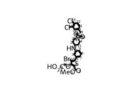 COC(=O)c1sc(-c2cccc(NC3CCN(S(=O)(=O)Cc4ccc(Cl)c(Cl)c4)CC3)c2)c(Br)c1OCC(=O)O